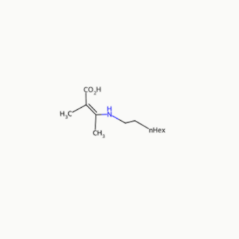 CCCCCCCCN/C(C)=C(/C)C(=O)O